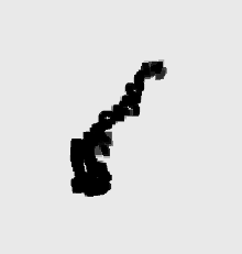 NCCOCCOCCOCCn1cc(-c2ccc3ccc4cccc5ccc2c3c45)nn1